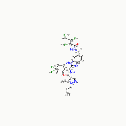 CC(C)CCn1ncc(C(=O)N[C@H](c2nc3ccc([C@@H](C)NC(=O)C(F)C(F)CF)cc3[nH]2)C2CCC(F)(F)CC2)c1C(C)C